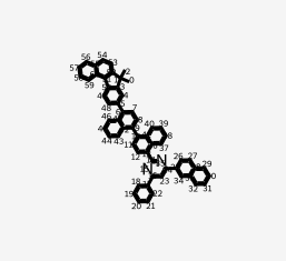 CC1(C)c2cc(-c3ccc(-c4ccc(-c5nc(-c6ccccc6)cc(-c6ccc7ccccc7c6)n5)c5ccccc45)c4ccccc34)ccc2-c2c1ccc1ccccc21